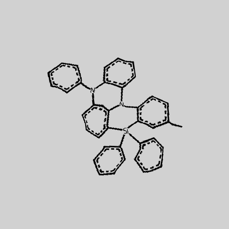 Cc1ccc2c(c1)[Si](c1ccccc1)(c1ccccc1)c1cccc3c1N2c1ccccc1N3c1ccccc1